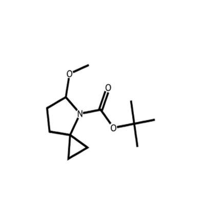 COC1CCC2(CC2)N1C(=O)OC(C)(C)C